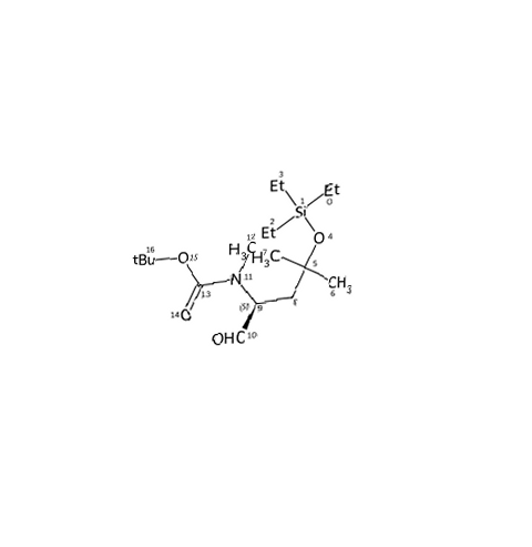 CC[Si](CC)(CC)OC(C)(C)C[C@@H](C=O)N(C)C(=O)OC(C)(C)C